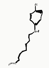 CCCCCCCCCCCCCCCNc1ccc(C(C)=O)cc1